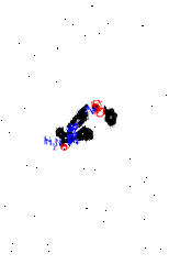 NC(=O)c1c2c(c(N3CCC4(CCN(C(=O)OCc5ccccc5)C4)CC3)n3c1nc1ccccc13)CCC2